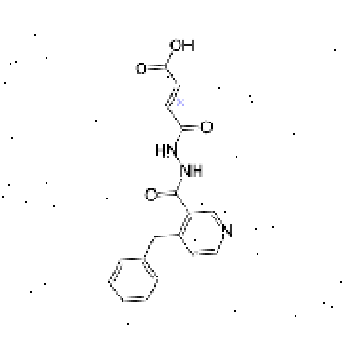 O=C(O)/C=C/C(=O)NNC(=O)c1cnccc1Cc1ccccc1